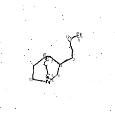 CCOCC1CN2CCC1CC2